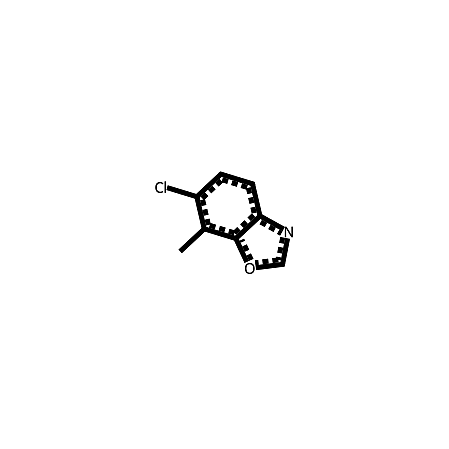 Cc1c(Cl)ccc2ncoc12